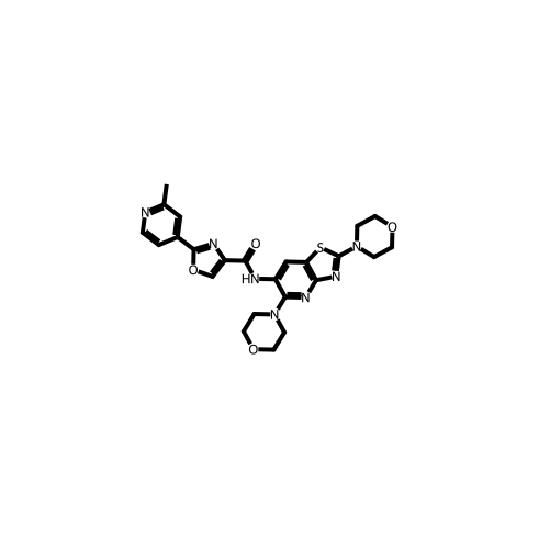 Cc1cc(-c2nc(C(=O)Nc3cc4sc(N5CCOCC5)nc4nc3N3CCOCC3)co2)ccn1